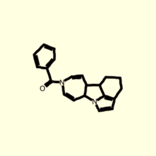 O=C(c1ccccc1)N1C=CC2C3CCCc4ccn(c43)C2C=C1